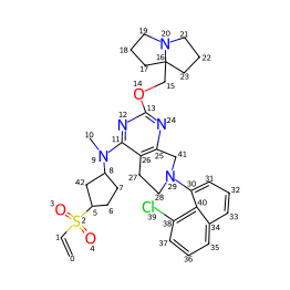 C=CS(=O)(=O)C1CCC(N(C)c2nc(OCC34CCCN3CCC4)nc3c2CCN(c2cccc4cccc(Cl)c24)C3)C1